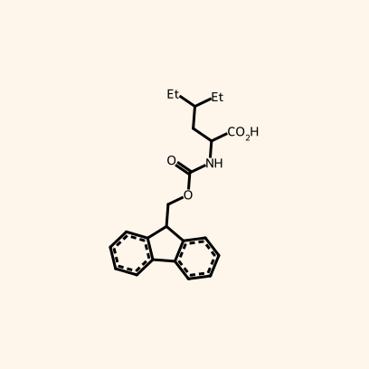 CCC(CC)CC(NC(=O)OCC1c2ccccc2-c2ccccc21)C(=O)O